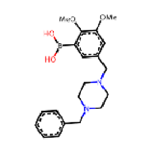 COc1cc(CN2CCN(Cc3ccccc3)CC2)cc(B(O)O)c1OC